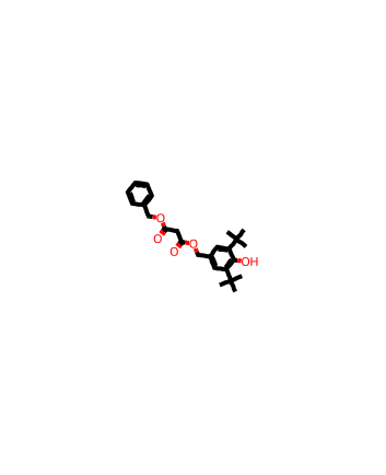 CC(C)(C)c1cc(COC(=O)CC(=O)OCc2ccccc2)cc(C(C)(C)C)c1O